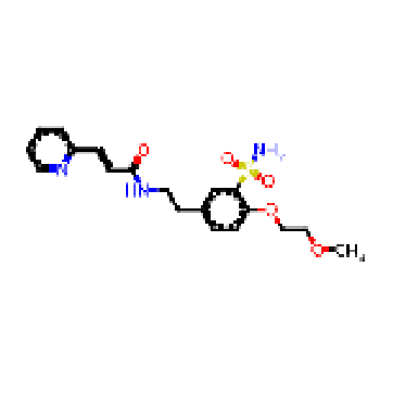 COCCOc1ccc(CCNC(=O)/C=C/c2ccccn2)cc1S(N)(=O)=O